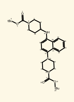 CC(C)(C)OC(=O)N1CCC(Nc2ccc(N3CCN(C(=O)OC(C)(C)C)CC3)c3ccccc23)CC1